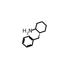 NC1CCCC[C@H]1Cc1ccccc1